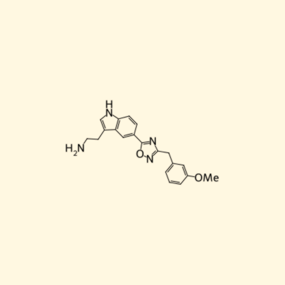 COc1cccc(Cc2noc(-c3ccc4[nH]cc(CCN)c4c3)n2)c1